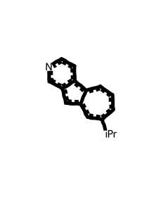 CC(C)c1cccc2c3ccncc3cc-2c1